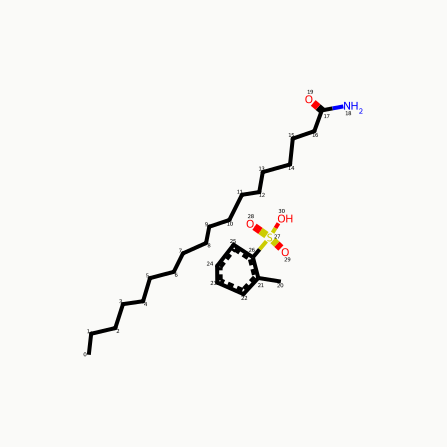 CCCCCCCCCCCCCCCCCC(N)=O.Cc1ccccc1S(=O)(=O)O